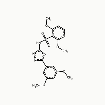 COc1cc(OC)cc(-c2nnc(NS(=O)(=O)c3c(OC)cccc3OC)s2)c1